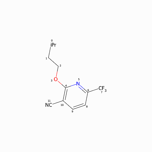 CC(C)CCOc1nc(C(F)(F)F)ccc1C#N